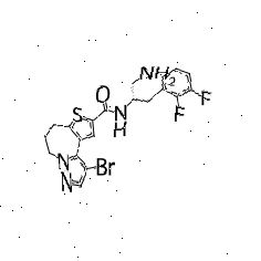 NC[C@H](Cc1cccc(F)c1F)NC(=O)c1cc2c(s1)CCCn1ncc(Br)c1-2